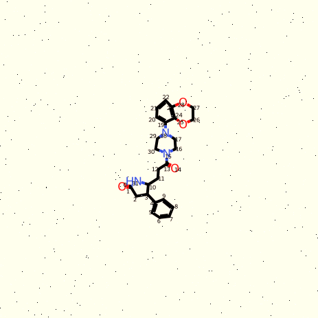 O=C1CC(c2ccccc2)C(CCC(=O)N2CCN(c3cccc4c3OCCO4)CC2)N1